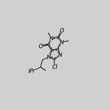 CC(C)C(C)Cn1c(Cl)nc2c1c(=O)n(C)c(=O)n2C